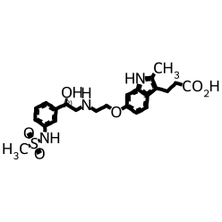 Cc1[nH]c2cc(OCCNC[C@H](O)c3cccc(NS(C)(=O)=O)c3)ccc2c1CCC(=O)O